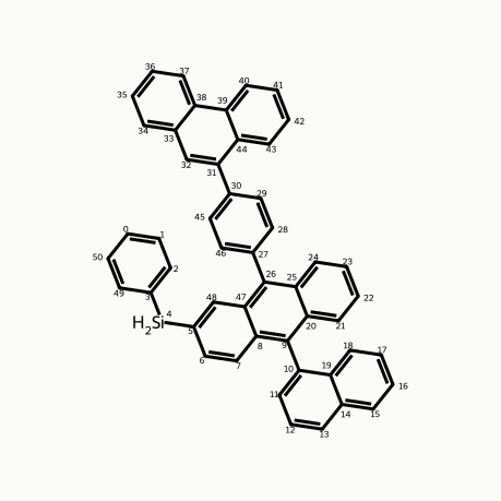 c1ccc([SiH2]c2ccc3c(-c4cccc5ccccc45)c4ccccc4c(-c4ccc(-c5cc6ccccc6c6ccccc56)cc4)c3c2)cc1